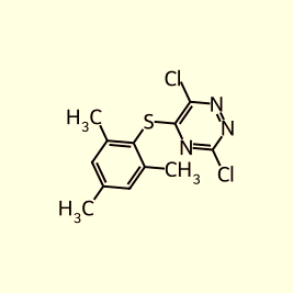 Cc1cc(C)c(Sc2nc(Cl)nnc2Cl)c(C)c1